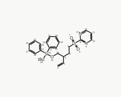 C=CC(CCS(=O)(=O)c1ncccn1)CO[Si](c1ccccc1)(c1ccccc1)C(C)(C)C